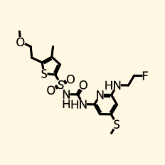 COCCc1sc(S(=O)(=O)NC(=O)Nc2cc(SC)cc(NCCF)n2)cc1C